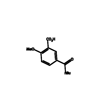 CCCCC(=O)c1ccc(OC)c(C(=O)O)c1